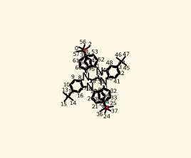 CC(C)c1ccc(N2c3ccc(C(C)(C)C)cc3N(c3ccc(C(C)C)cc3)C2C2N(c3ccc(C(C)C)cc3)c3ccc(C(C)(C)C)cc3N2c2ccc(C(C)C)cc2)cc1